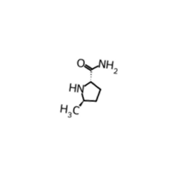 C[C@@H]1CC[C@@H](C(N)=O)N1